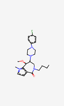 CCCCN1CC(N2CCN(c3ccc(F)cc3)CC2)C(OC)c2c(ccn2C)C1=O